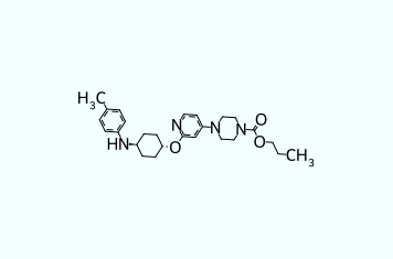 CCCOC(=O)N1CCN(c2ccnc(O[C@H]3CC[C@H](Nc4ccc(C)cc4)CC3)c2)CC1